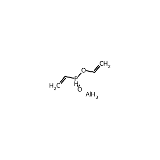 C=CO[PH](=O)C=C.[AlH3]